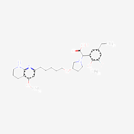 CCc1cc(F)c(OC)c(C(C(=O)O)N2CC[C@@H](OCCCCCc3cc(OC)c4c(n3)NCCC4)C2)c1